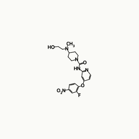 CN(CCO)C1CCN(C(=O)Nc2cc(Oc3ccc([N+](=O)[O-])cc3F)ccn2)CC1